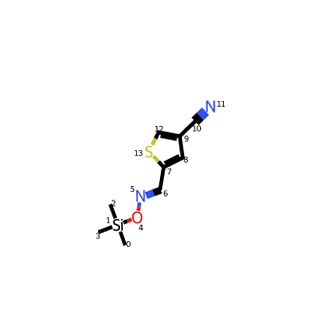 C[Si](C)(C)ON=Cc1cc(C#N)cs1